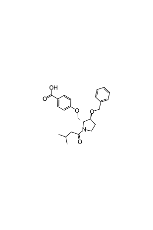 CC(C)CC(=O)N1CC[C@H](OCc2ccccc2)[C@H]1COc1ccc(C(=O)O)cc1